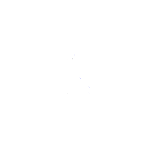 C[C@H](NC(=O)COc1cc(C(F)(F)F)c2c(C3CC3)nn(C)c2n1)c1ccccc1